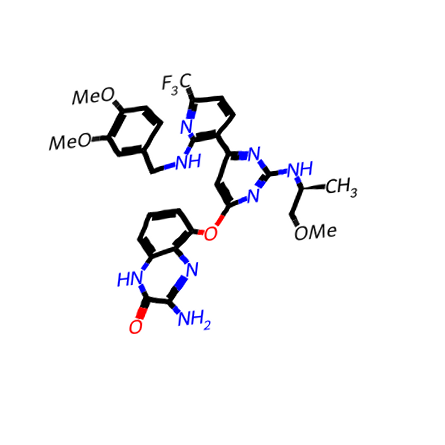 COC[C@H](C)Nc1nc(Oc2cccc3[nH]c(=O)c(N)nc23)cc(-c2ccc(C(F)(F)F)nc2NCc2ccc(OC)c(OC)c2)n1